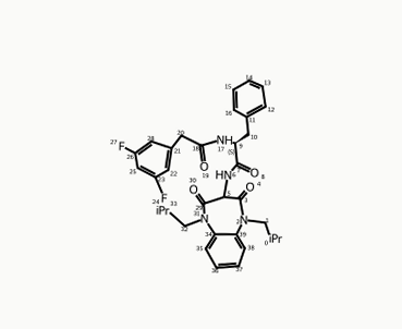 CC(C)CN1C(=O)C(NC(=O)[C@H](Cc2ccccc2)NC(=O)Cc2cc(F)cc(F)c2)C(=O)N(CC(C)C)c2ccccc21